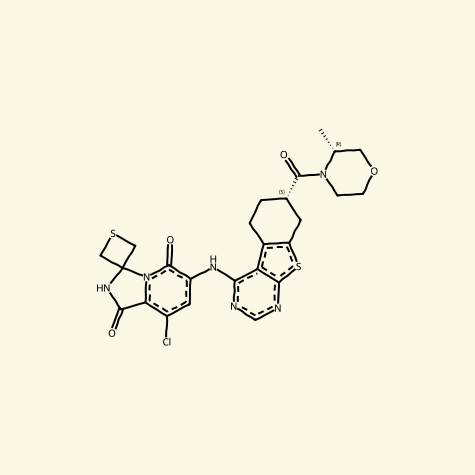 C[C@@H]1COCCN1C(=O)[C@H]1CCc2c(sc3ncnc(Nc4cc(Cl)c5n(c4=O)C4(CSC4)NC5=O)c23)C1